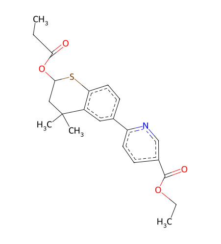 CCOC(=O)c1ccc(-c2ccc3c(c2)C(C)(C)CC(OC(=O)CC)S3)nc1